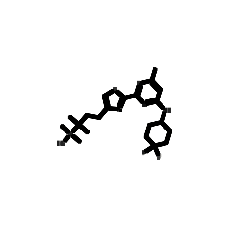 Cc1cc(NC2CCC(F)(F)CC2)nc(-c2nc(CCC(C)(C)[Si](C)(C)O)cs2)n1